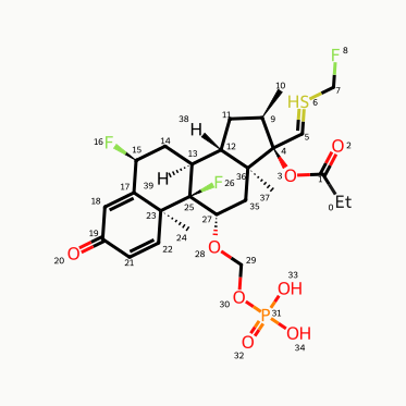 CCC(=O)O[C@]1(C=[SH]CF)[C@H](C)C[C@H]2[C@@H]3C[C@H](F)C4=CC(=O)C=C[C@]4(C)[C@@]3(F)[C@@H](OCOP(=O)(O)O)C[C@@]21C